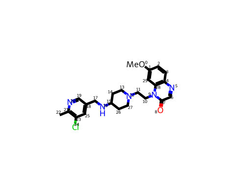 COc1ccc2ncc(=O)n(CCN3CCC(NCc4cnc(C)c(Cl)c4)CC3)c2c1